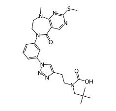 CSc1ncc2c(n1)N(C)CCN(c1cccc(-n3cc(CCN(CC(C)(C)C)C(=O)O)nn3)c1)C2=O